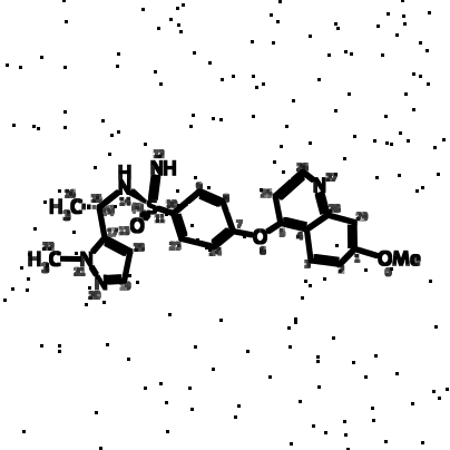 COc1ccc2c(Oc3ccc([S@@](=N)(=O)N[C@@H](C)c4ccnn4C)cc3)ccnc2c1